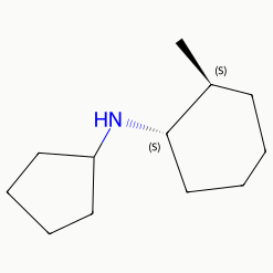 C[C@H]1CCCC[C@@H]1NC1CCCC1